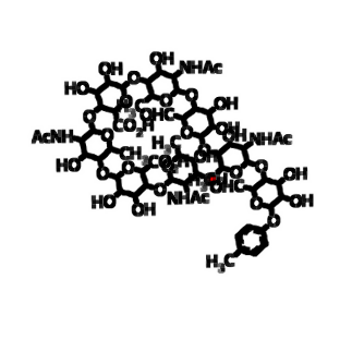 CC(=O)NC1C(OC2C(C(=O)O)OC(OC3C(C)OC(OC4C(C(=O)O)OC(OC5C(C)OC(OC6C(C=O)OC(OC7C(C)OC(OC8C(C=O)OC(Oc9ccc(C)cc9)C(O)C8O)C(NC(C)=O)C7O)C(O)C6O)C(NC(C)=O)C5O)C(O)C4O)C(NC(C)=O)C3O)C(O)C2O)OC(C)C(O)C1O